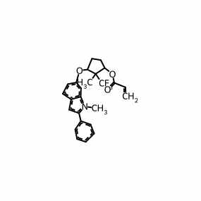 C=CC(=O)OC1CCC(Oc2ccc3cc(-c4ccccc4)n(C)c3c2)C1(C)C(F)(F)F